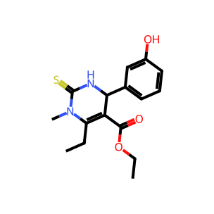 CCOC(=O)C1=C(CC)N(C)C(=S)NC1c1cccc(O)c1